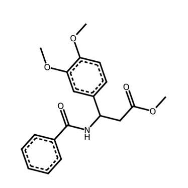 COC(=O)CC(NC(=O)c1ccccc1)c1ccc(OC)c(OC)c1